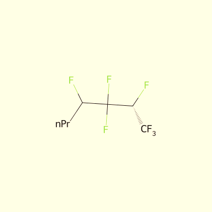 [CH2]CCC(F)C(F)(F)[C@H](F)C(F)(F)F